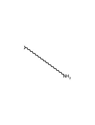 CC(C)CCCCCCCCCCCCCCCCCCCCCCCCCCCCCN